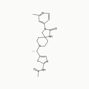 CC(=O)Nc1ncc([C@H](C)N2CCC3(CC2)CN(c2ccnc(C)c2)C(=O)N3)s1